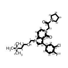 CS(C)(C)CCOCn1cc(-c2ccc(F)c(Cl)c2)c2c(=O)n(CC(=O)N3CCCC3)ccc21